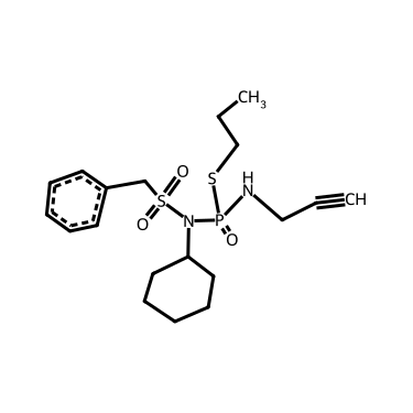 C#CCNP(=O)(SCCC)N(C1CCCCC1)S(=O)(=O)Cc1ccccc1